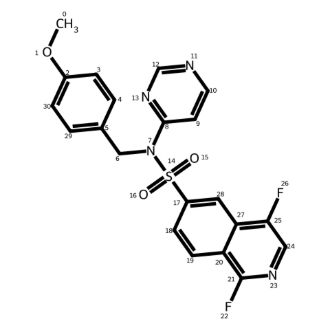 COc1ccc(CN(c2ccncn2)S(=O)(=O)c2ccc3c(F)ncc(F)c3c2)cc1